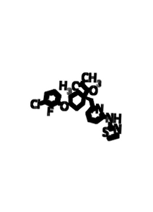 CC(C)C(=O)[C@]1(Cc2cccc(Nc3nccs3)n2)CC[C@@H](Oc2cccc(Cl)c2F)CC1